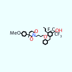 C/C=C/c1cc(C(O)(C(F)(F)F)C(F)(F)F)cc(Cc2ccccc2)c1OCCCCN1C(=O)C=CC(C)(c2ccc(OC)cc2)C1=O